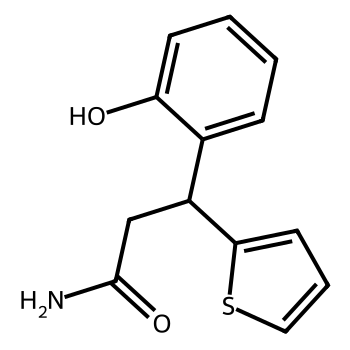 NC(=O)CC(c1cccs1)c1ccccc1O